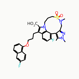 Cc1c2c(nn1C)CN(C)S(=O)(=O)CCCn1c(C(=O)O)c(CCCOc3cccc4cc(F)ccc34)c3ccc(F)c-2c31